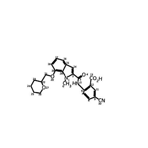 Cn1c(C(=O)Nc2ccc(C#N)cc2C(=O)O)cc2cccc(OCC3CCCCO3)c21